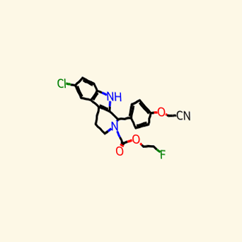 N#CCOc1ccc(C2c3[nH]c4ccc(Cl)cc4c3CCN2C(=O)OCCF)cc1